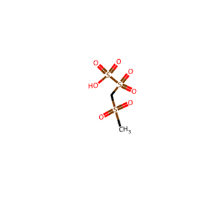 CS(=O)(=O)CS(=O)(=O)S(=O)(=O)O